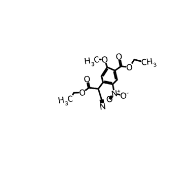 CCOC(=O)c1cc([N+](=O)[O-])c(C(C#N)C(=O)OCC)cc1OC